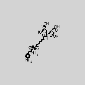 Nc1ccc(C[C@@H](N)C(=O)NNC(=O)CCCCCNC(=O)CN(CCN(CC(=O)O)CC(=O)O)CCN(CC(=O)O)CC(=O)O)cc1